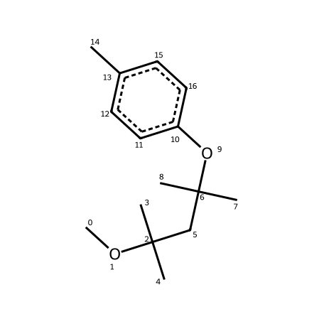 COC(C)(C)CC(C)(C)Oc1ccc(C)cc1